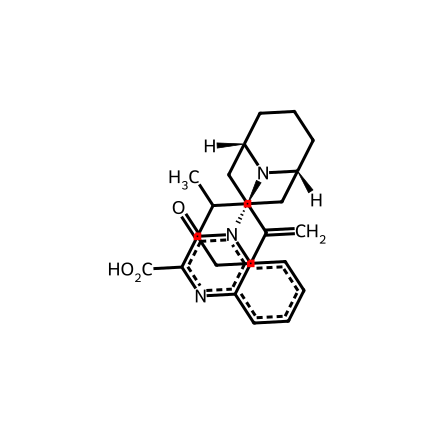 C=C1CCCC(C)[C@H]1N1[C@@H]2CCC[C@H]1C[C@@H](n1c(=O)c(C(=O)O)nc3ccccc31)C2